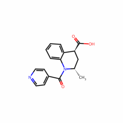 C[C@H]1C[C@H](C(=O)O)c2ccccc2N1C(=O)c1ccncc1